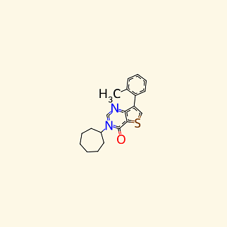 Cc1ccccc1-c1csc2c(=O)n(C3CCCCCC3)cnc12